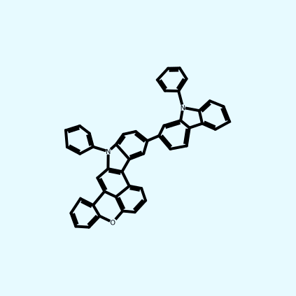 c1ccc(-n2c3ccccc3c3ccc(-c4ccc5c(c4)c4c6cccc7c6c(cc4n5-c4ccccc4)-c4ccccc4O7)cc32)cc1